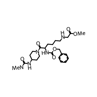 CNC(=O)NC1CCN(C(=O)C(CCCCNCC(=O)OC)NC(=O)OCc2ccccc2)CC1